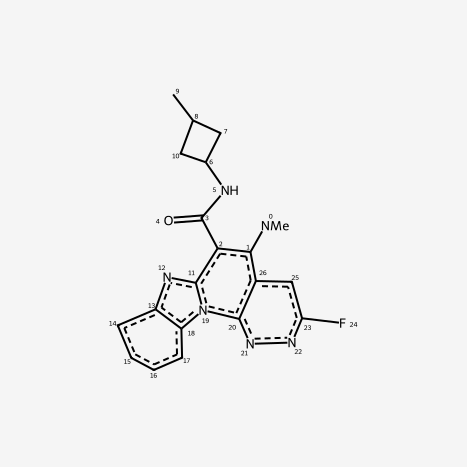 CNc1c(C(=O)NC2CC(C)C2)c2nc3ccccc3n2c2nnc(F)cc12